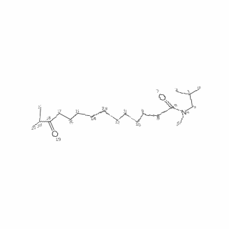 CC(C)CN(C)C(=O)CCCCCCCCCCC(=O)C(C)C